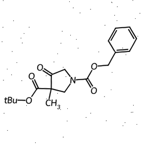 CC(C)(C)OC(=O)C1(C)CN(C(=O)OCc2ccccc2)CC1=O